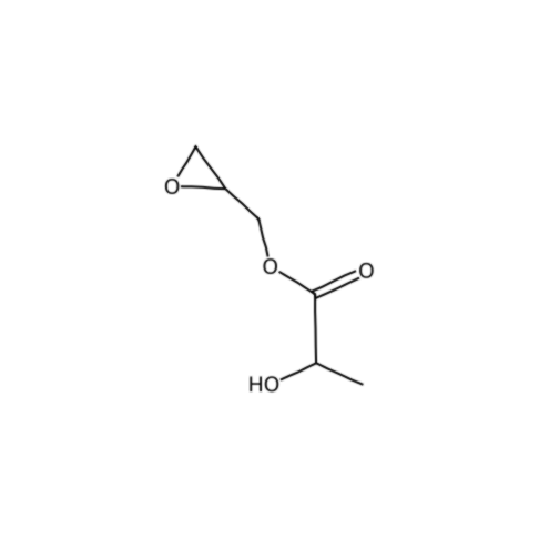 CC(O)C(=O)OCC1CO1